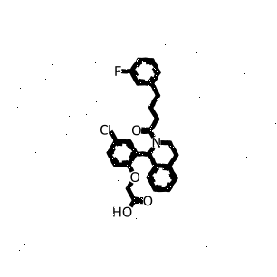 O=C(O)COc1ccc(Cl)cc1C1c2ccccc2CCN1C(=O)CCCc1cccc(F)c1